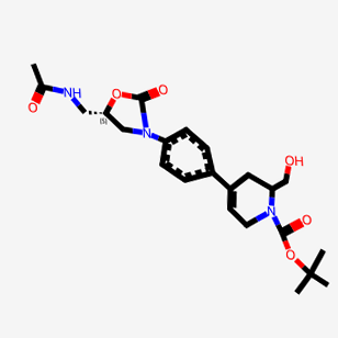 CC(=O)NC[C@H]1CN(c2ccc(C3=CCN(C(=O)OC(C)(C)C)C(CO)C3)cc2)C(=O)O1